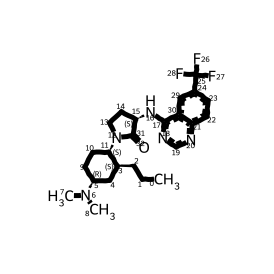 CCC[C@H]1C[C@H](N(C)C)CC[C@@H]1N1CC[C@H](Nc2ncnc3ccc(C(F)(F)F)cc23)C1=O